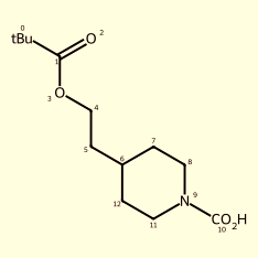 CC(C)(C)C(=O)OCCC1CCN(C(=O)O)CC1